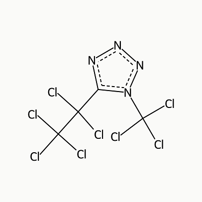 ClC(Cl)(Cl)n1nnnc1C(Cl)(Cl)C(Cl)(Cl)Cl